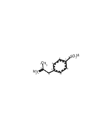 C=C(C)[CH]c1ccc(S(=O)(=O)O)cc1